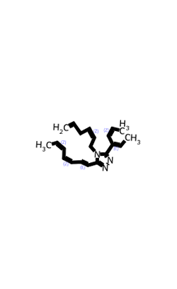 C=CC/C=C\Cn1c(/C=C/C=C\C=C/C)nnc1C(/C=C\C)=C/C